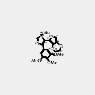 CCCCn1cnc(-c2cc(OC)c(OC)c(OC)c2)c1-c1scc2c1OCCO2